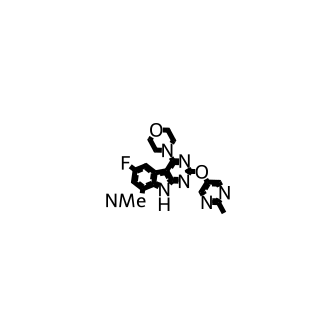 CNc1cc(F)cc2c1[nH]c1nc(Oc3cnc(C)nc3)nc(N3CCOCC3)c12